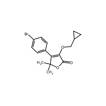 CC1(C)OC(=O)C(OCC2CC2)=C1c1ccc(Br)cc1